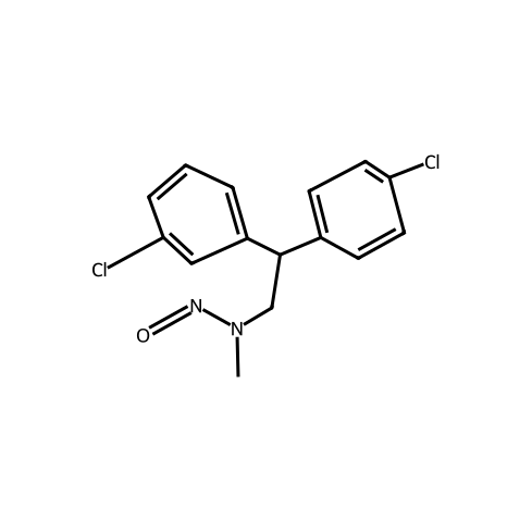 CN(CC(c1ccc(Cl)cc1)c1cccc(Cl)c1)N=O